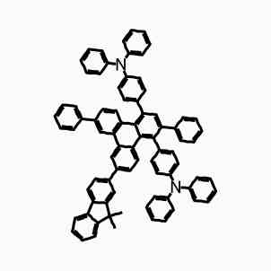 CC1(C)c2ccccc2-c2ccc(-c3ccc4c(c3)c3cc(-c5ccccc5)ccc3c3c(-c5ccc(N(c6ccccc6)c6ccccc6)cc5)cc(-c5ccccc5)c(-c5ccc(N(c6ccccc6)c6ccccc6)cc5)c43)cc21